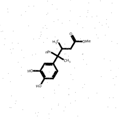 CCCC(C)(c1ccc(O)c(O)c1)C(C)CC(=O)OC